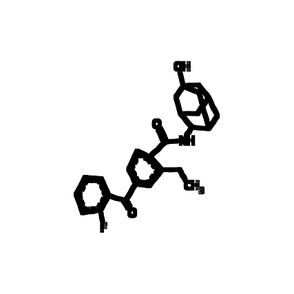 CCc1cc(C(=O)c2ccccc2F)ccc1C(=O)NC1C2CC3CC1CC(O)(C3)C2